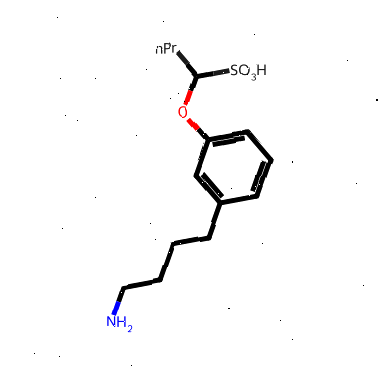 CCCC(Oc1cccc(CCCCN)c1)S(=O)(=O)O